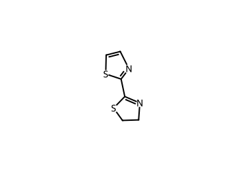 c1csc(C2=NCCS2)n1